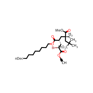 C#COC(=O)[C@@H](Br)C[C@@H](C[C@@](C)(CC(C)(C)C(=O)OCC)C(=O)OC)C(=O)OCCCCCCCCCCCCCCCCCC